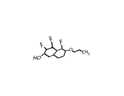 CCCOC1CCC2CC(O)C(F)C(F)C2C1F